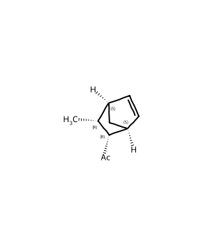 CC(=O)[C@@H]1[C@H](C)[C@H]2C=C[C@@H]1C2